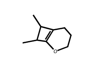 CC1C2=C(OCCC2)C1C